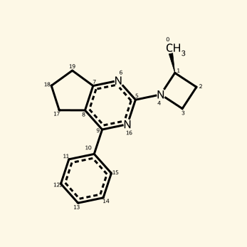 C[C@H]1CCN1c1nc2c(c(-c3c[c]ccc3)n1)CCC2